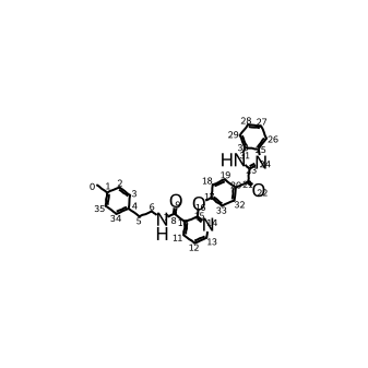 Cc1ccc(CCNC(=O)c2cccnc2Oc2ccc(C(=O)c3nc4ccccc4[nH]3)cc2)cc1